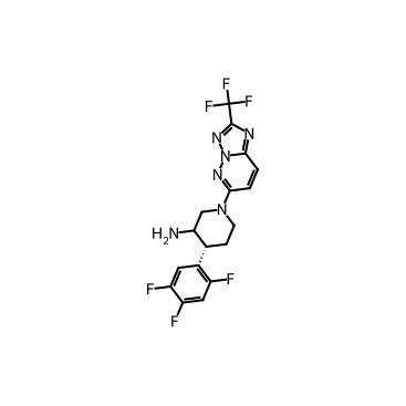 NC1CN(c2ccc3nc(C(F)(F)F)nn3n2)CC[C@@H]1c1cc(F)c(F)cc1F